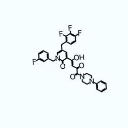 O=C(/C=C(\O)c1cc(Cc2ccc(F)c(F)c2F)cn(Cc2cccc(F)c2)c1=O)C(=O)N1CCN(c2ccccc2)CC1